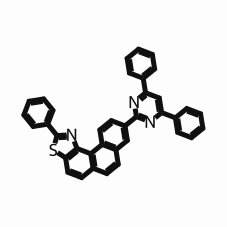 c1ccc(-c2cc(-c3ccccc3)nc(-c3ccc4c(ccc5ccc6sc(-c7ccccc7)nc6c54)c3)n2)cc1